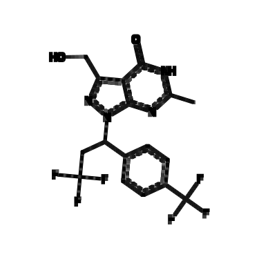 Cc1nc2c(c(CO)nn2C(CC(F)(F)F)c2ccc(C(F)(F)F)cc2)c(=O)[nH]1